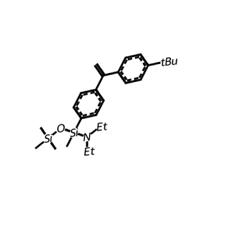 C=C(c1ccc(C(C)(C)C)cc1)c1ccc([Si](C)(O[Si](C)(C)C)N(CC)CC)cc1